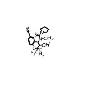 CN(C(=S)N1CCCC1)C1c2cc(C#N)ccc2OC(C)(C)C1O